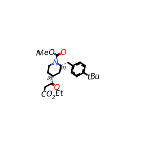 CCOC(=O)CC(=O)[C@@H]1CCN(C(=O)OC)[C@H](Cc2ccc(C(C)(C)C)cc2)C1